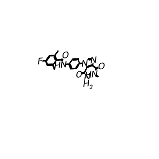 CNC(=O)c1ncn(-c2ccc(NC(=O)c3c(C)cc(F)cc3C)cc2)c1C(N)=O